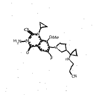 COc1c(N2CCC(C3(NCCC#N)CC3)C2)c(F)cc2c(=O)n(N)c(=O)n(C3CC3)c12